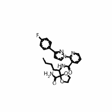 CCCCC(NC(=O)c1cccnc1-n1ccc(-c2ccc(F)cc2)n1)C1(C(N)=O)OCCO1